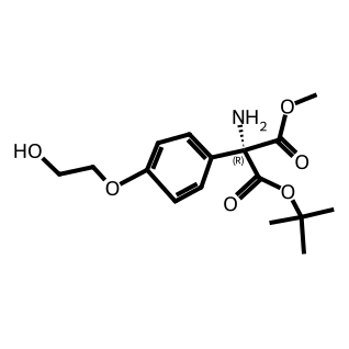 COC(=O)[C@@](N)(C(=O)OC(C)(C)C)c1ccc(OCCO)cc1